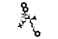 CC(C)(C)OC(=O)C[C@H](NS(=O)(=O)c1ccc2ccccc2c1)C(=O)N(CCCOCc1ccccc1)C1CC1